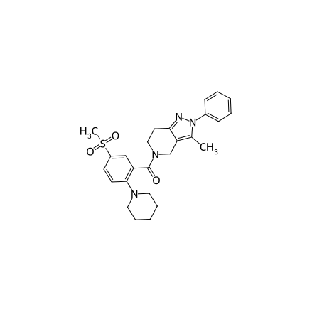 Cc1c2c(nn1-c1ccccc1)CCN(C(=O)c1cc(S(C)(=O)=O)ccc1N1CCCCC1)C2